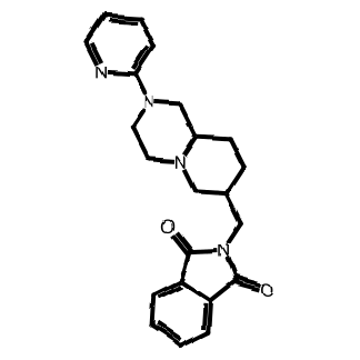 O=C1c2ccccc2C(=O)N1CC1CCC2CN(c3ccccn3)CCN2C1